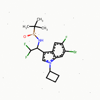 CC(C)(C)[S@+]([O-])NC(c1cn(C2CCC2)c2cc(Br)c(F)cc12)C(F)F